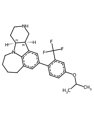 CC(C)Oc1ccc(-c2cc3c4c(c2)[C@@H]2CNCC[C@@H]2N4CCCC3)c(C(F)(F)F)c1